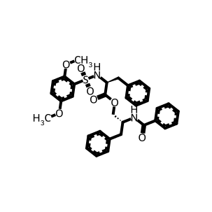 COc1ccc(OC)c(S(=O)(=O)N[C@@H](Cc2ccccc2)C(=O)OC[C@@H](Cc2ccccc2)NC(=O)c2ccccc2)c1